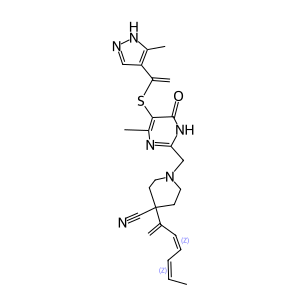 C=C(Sc1c(C)nc(CN2CCC(C#N)(C(=C)/C=C\C=C/C)CC2)[nH]c1=O)c1cn[nH]c1C